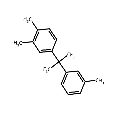 Cc1cccc(C(c2ccc(C)c(C)c2)(C(F)(F)F)C(F)(F)F)c1